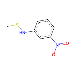 CSNc1cccc([N+](=O)[O-])c1